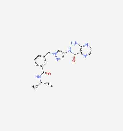 CC(C)NC(=O)c1cccc(Cn2cc(NC(=O)c3nccnc3N)cn2)c1